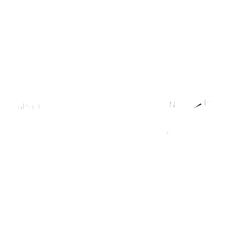 CCCCCC1CCC(c2ccc(C3=N[C@@H](C(C)C)CO3)cc2)CC1